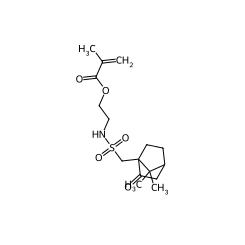 C=C(C)C(=O)OCCNS(=O)(=O)CC12CCC(CC1=O)C2(C)C